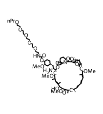 CCCOCCOCCOCCOCCOCCNC(=O)OC1CC[C@@H](C[C@@H](N)[C@@H]2C[C@@H](OC)C(C)/C=C(\C)[C@@H](O)[C@@H](OC)C(=O)C(C)C[C@H](C)/C=C/C=C/C=C(\C)[C@@H](OC)C[C@@H]3CC[C@@H](C)[C@@](O)(O3)C(=O)C(=O)N3CCCC[C@H]3C(=O)O2)C[C@H]1OC